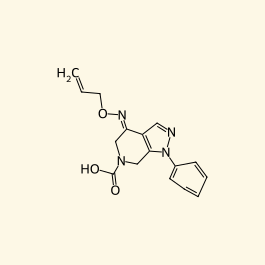 C=CCO/N=C1\CN(C(=O)O)Cc2c1cnn2-c1ccccc1